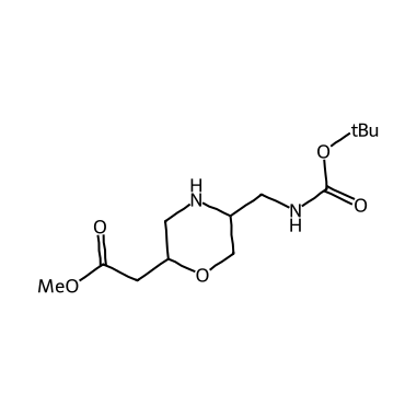 COC(=O)CC1CNC(CNC(=O)OC(C)(C)C)CO1